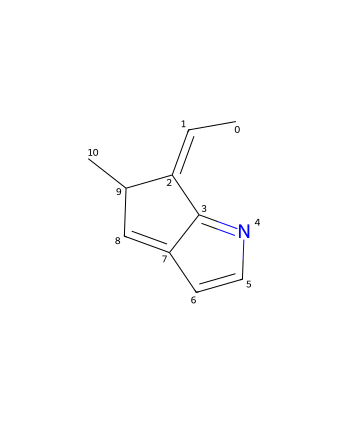 CC=C1C2=NC=CC2=CC1C